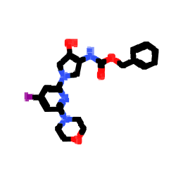 O=C(NC1CN(c2cc(I)cc(N3CCOCC3)n2)CC1O)OCc1ccccc1